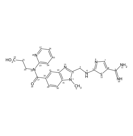 Cn1c(CNc2ncc(C(=N)N)s2)nc2cc(C(=O)N(CCC(=O)O)c3ccccn3)ccc21